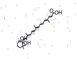 CC(/C=C/C=C(C)/C=C/[C@@]1(O)C(C)(C)CCC[C@@]1(C)O)=C\C=C\C=C(C)\C=C\C(=O)O